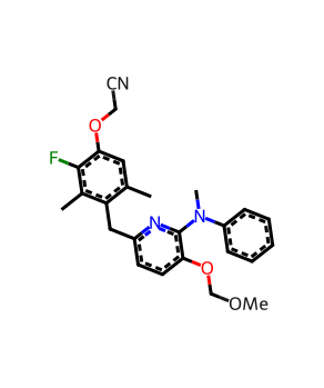 COCOc1ccc(Cc2c(C)cc(OCC#N)c(F)c2C)nc1N(C)c1ccccc1